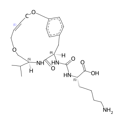 CC(C)[C@H]1COC/C=C/COc2ccc(cc2)C[C@@H](NC(=O)N[C@@H](CCCCN)C(=O)O)C(=O)N1